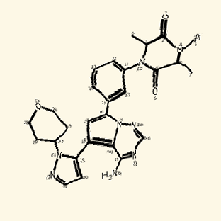 CC1C(=O)N(C(C)C)C(C)C(=O)N1c1cccc(-c2cc(-c3ccnn3C3CCOCC3)c3c(N)ncnn23)c1